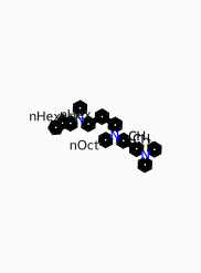 CCCCCCCCc1ccc(N(c2cccc(-c3cccc(-c4cccc(N(c5ccccc5)c5ccc6c(c5)C(CCCCCC)(CCCCCC)c5ccccc5-6)c4)c3)c2)c2ccc(-c3ccc(N(c4ccccc4)c4ccccc4)cc3C)c(C)c2)cc1